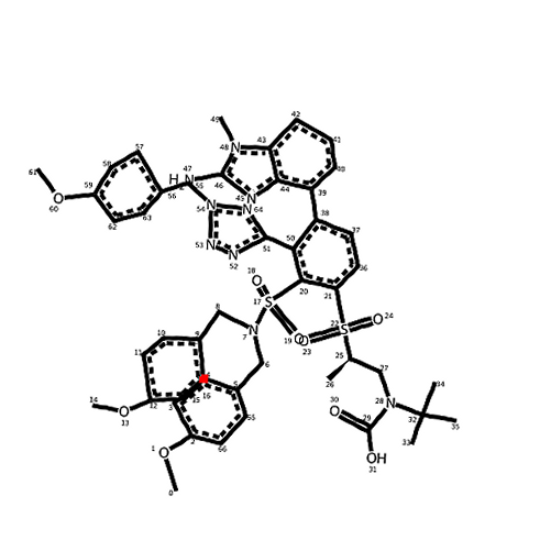 COc1ccc(CN(Cc2ccc(OC)cc2)S(=O)(=O)c2c(S(=O)(=O)[C@H](C)CN(C(=O)O)C(C)(C)C)ccc(-c3cccc4c3nc(N)n4C)c2-c2nnn(Cc3ccc(OC)cc3)n2)cc1